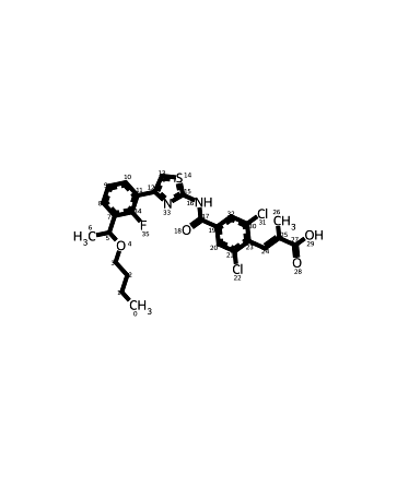 CCCCOC(C)c1cccc(-c2csc(NC(=O)c3cc(Cl)c(C=C(C)C(=O)O)c(Cl)c3)n2)c1F